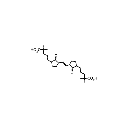 CC(C)(CCCC1CCC(C=CC2CCC(CCCC(C)(C)C(=O)O)C2=O)C1=O)C(=O)O